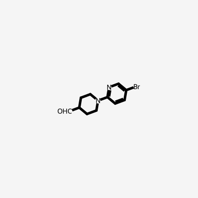 O=CC1CCN(c2ccc(Br)cn2)CC1